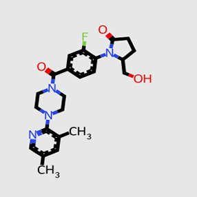 Cc1cnc(N2CCN(C(=O)c3ccc(N4C(=O)CCC4CO)c(F)c3)CC2)c(C)c1